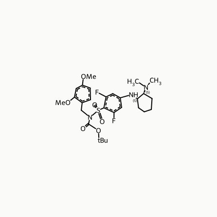 COc1ccc(CN(C(=O)OC(C)(C)C)S(=O)(=O)c2c(F)cc(N[C@H]3CCCC[C@@H]3N(C)C)cc2F)c(OC)c1